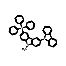 Cn1c2ccc(-n3c4ccccc4c4ccccc43)cc2c2cc([Si](c3ccccc3)(c3ccccc3)c3ccccc3)ccc21